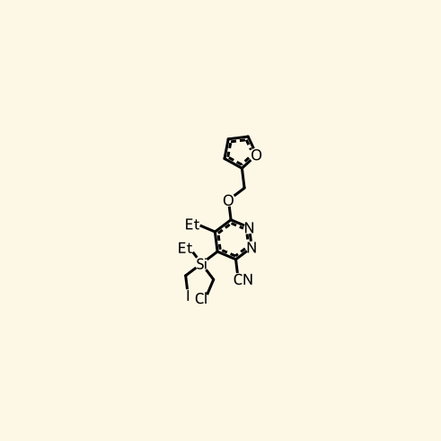 CCc1c(OCc2ccco2)nnc(C#N)c1[Si](CC)(CCl)CI